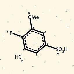 COc1cc(S(=O)(=O)O)ccc1F.Cl